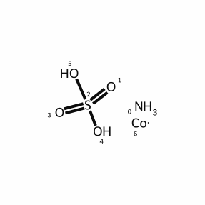 N.O=S(=O)(O)O.[Co]